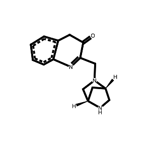 O=C1Cc2ccccc2N=C1CN1C[C@@H]2C[C@H]1CN2